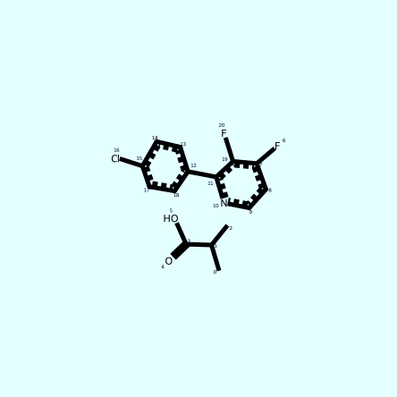 CC(C)C(=O)O.Fc1ccnc(-c2ccc(Cl)cc2)c1F